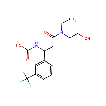 CCN(CCO)C(=O)CC(NC(=O)O)c1cccc(C(F)(F)F)c1